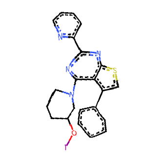 IOC1CCCN(c2nc(-c3ccccn3)nc3scc(-c4ccccc4)c23)C1